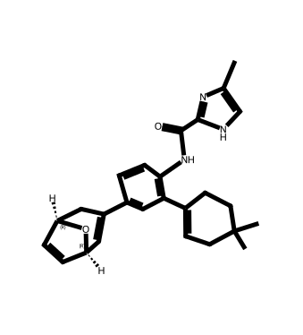 Cc1c[nH]c(C(=O)Nc2ccc(C3=C[C@H]4C=C[C@@H](C3)O4)cc2C2=CCC(C)(C)CC2)n1